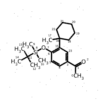 CC(=O)c1ccc(O[Si](C)(C)C(C)(C)C)c(C2(C)CCCCC2)c1